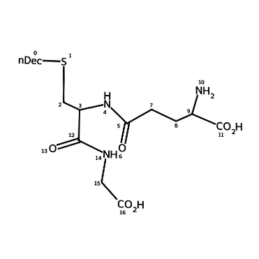 CCCCCCCCCCSCC(NC(=O)CCC(N)C(=O)O)C(=O)NCC(=O)O